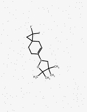 CC1(C)CB(C2=CCC3(CC2)CC3(F)F)OC1(C)C